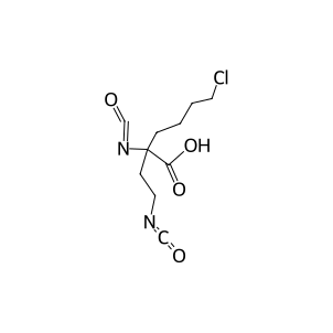 O=C=NCCC(CCCCCl)(N=C=O)C(=O)O